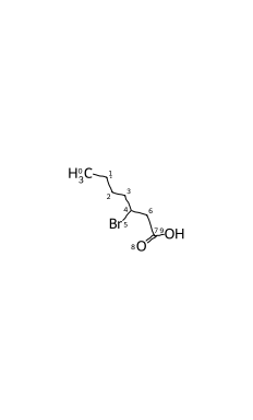 C[CH]CCC(Br)CC(=O)O